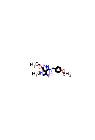 CCOc1nnc(NCc2ccc(OC)cc2)c2c(I)cn(C)c12